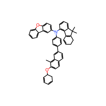 Cc1c(OC2C=CC=CC2)ccc2ccc(-c3ccc(N(c4ccc5oc6ccccc6c5c4)c4cccc5c4C4=C(CCC=C4)C5(C)C)cc3)cc12